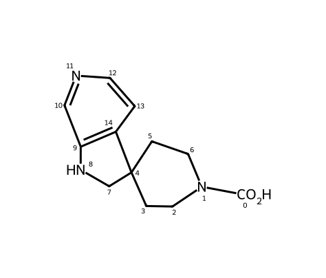 O=C(O)N1CCC2(CC1)CNc1cnccc12